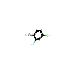 CC[CH]c1ccc(Cl)cc1F